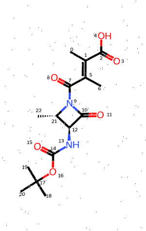 C/C(C(=O)O)=C(/C)C(=O)N1C(=O)[C@@H](NC(=O)OC(C)(C)C)[C@@H]1C